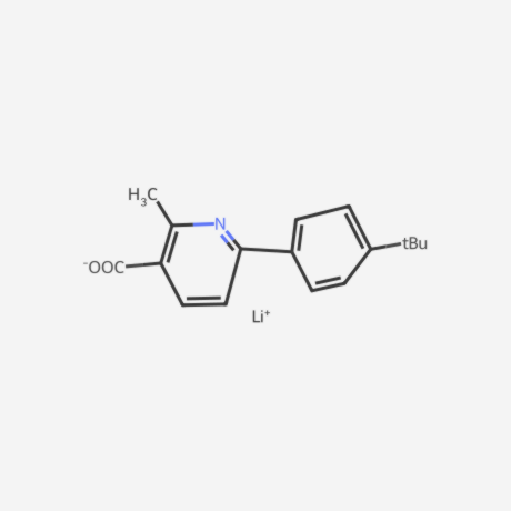 Cc1nc(-c2ccc(C(C)(C)C)cc2)ccc1C(=O)[O-].[Li+]